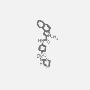 Cn1c(C(=O)Nc2ccc(S(=O)(=O)Nc3cnccn3)cc2)cc2c3c(ccc21)CCCC3